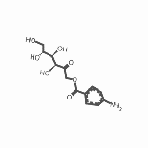 Nc1ccc(C(=O)OCC(=O)[C@@H](O)[C@H](O)[C@H](O)CO)cc1